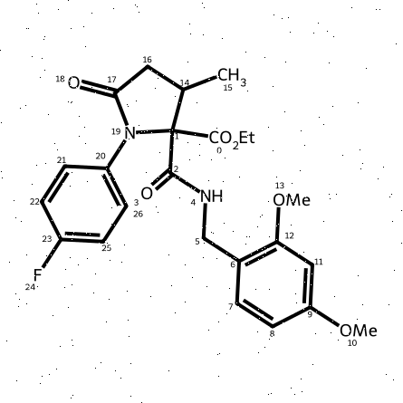 CCOC(=O)C1(C(=O)NCc2ccc(OC)cc2OC)C(C)CC(=O)N1c1ccc(F)cc1